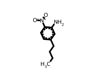 CCCCc1ccc([N+](=O)[O-])c(N)c1